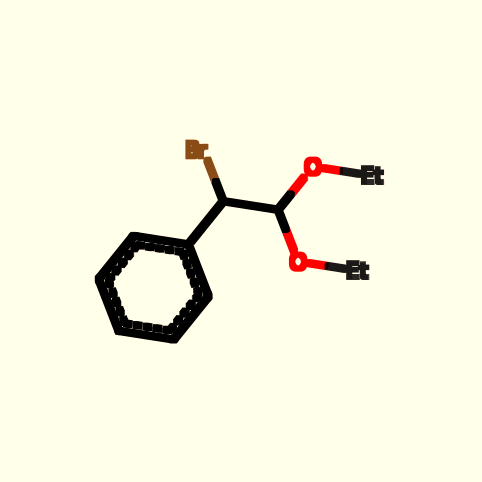 CCOC(OCC)C(Br)c1ccccc1